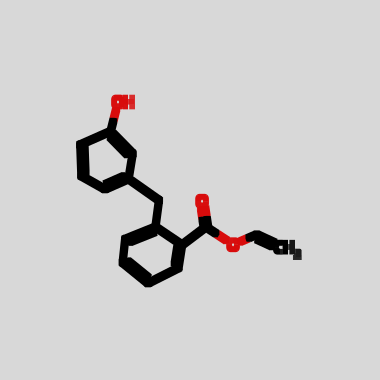 C=COC(=O)c1ccccc1Cc1cccc(O)c1